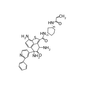 C=CC(=O)N[C@@H]1CCC[C@H](NC(=O)c2sc3c(N)ccc4c3c2C(N)C(=O)C4(N)c2ccnc(-c3ccccc3)c2)C1